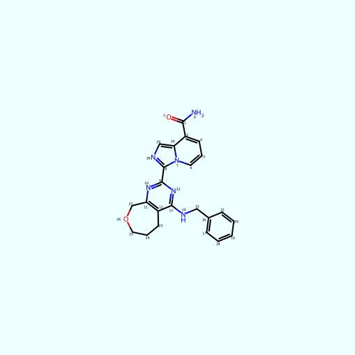 NC(=O)c1cccn2c(-c3nc4c(c(NCc5ccccc5)n3)CCCOC4)ncc12